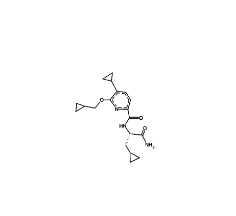 NC(=O)[C@H](CC1CC1)NC(=O)c1ccc(C2CC2)c(OCC2CC2)n1